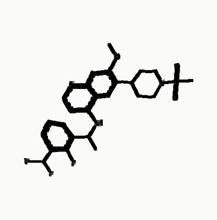 COc1cc2nccc(NC(C)c3cccc(C(F)F)c3F)c2cc1C1CCN(S(C)(=O)=O)CC1